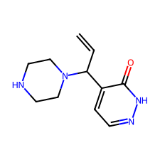 C=CC(c1ccn[nH]c1=O)N1CCNCC1